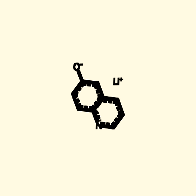 [Li+].[O-]c1ccc2ncccc2c1